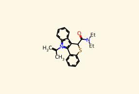 C=C(C)n1c2c(c3ccccc31)C(C(=O)N(CC)CC)Sc1ccccc1-2